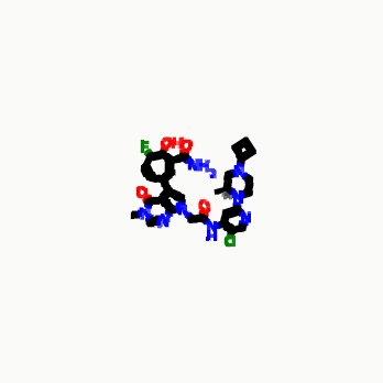 C[C@H]1CN(C2CCC2)CCN1c1cc(NC(=O)Cn2cc(C3C#CC(F)=C(O)C(C(N)=O)=C3)c3c(=O)n(C)cnc32)c(Cl)cn1